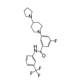 O=C(Nc1cccc(C(F)(F)F)c1)c1cc(F)cc(N2CCC(N3CCCC3)CC2)c1